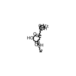 CCC(O)C(C)C1OC1CC(C)(O)/C=C/C=C(\C)C1OC(=O)CC(O)CCC(C)C(OC(=O)NCCCN(C)C)/C=C/C1C